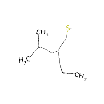 CCC(C[S])C(C)C